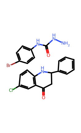 NNC(=O)Nc1ccc(Br)cc1.O=C1CC(c2ccccc2)Nc2ccc(Cl)cc21